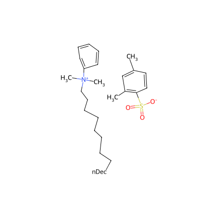 CCCCCCCCCCCCCCCCCC[N+](C)(C)c1ccccc1.Cc1ccc(S(=O)(=O)[O-])c(C)c1